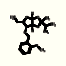 CC[C@H]1O[C@@H]2OC(C)(C(C)C)O[C@@H]2[C@H]1OCc1ccccc1OC